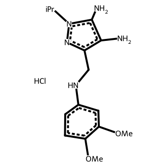 COc1ccc(NCc2nn(C(C)C)c(N)c2N)cc1OC.Cl